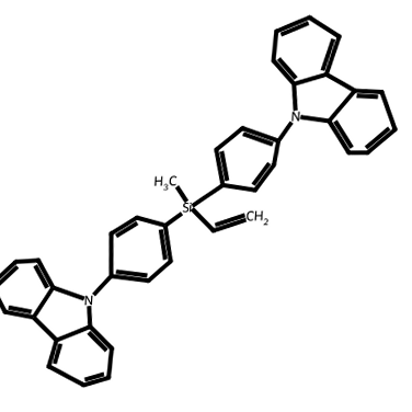 C=C[Si](C)(c1ccc(-n2c3ccccc3c3ccccc32)cc1)c1ccc(-n2c3ccccc3c3ccccc32)cc1